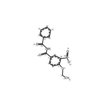 CCOc1ccc(C(=O)NC(=O)c2ccccc2)cc1[N+](=O)[O-]